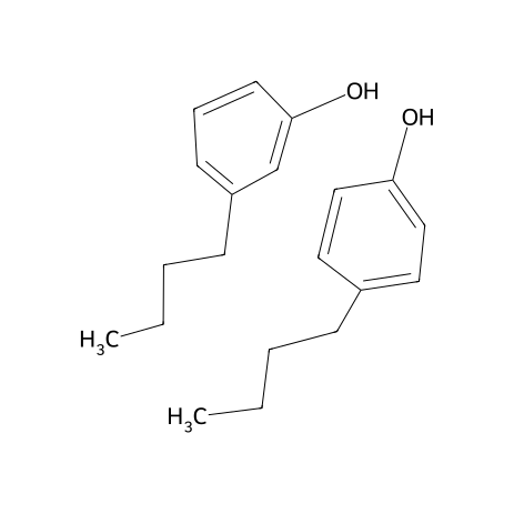 CCCCc1ccc(O)cc1.CCCCc1cccc(O)c1